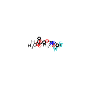 CCOC(=O)C(C)(Cc1ccc(OCCC2CN(Cc3cc(C(F)(F)F)cc(C(F)(F)F)c3)C(=O)N2C)cc1)Oc1ccccc1